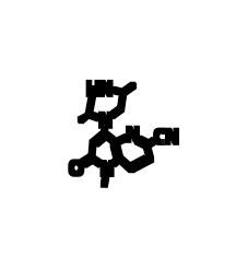 CC1CN(c2cc(=O)n(C)c3ccc(C#N)nc23)[C@@H](C)CN1